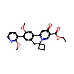 CCOC(=O)c1cn2c(cc1=O)-c1cc(OC)c(-c3cccnc3OC)cc1CC21CCC1